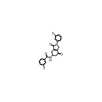 O=C1CC(NC(=O)c2cccc(F)c2)CC2=C1CN(c1cccc(F)c1)C2=O